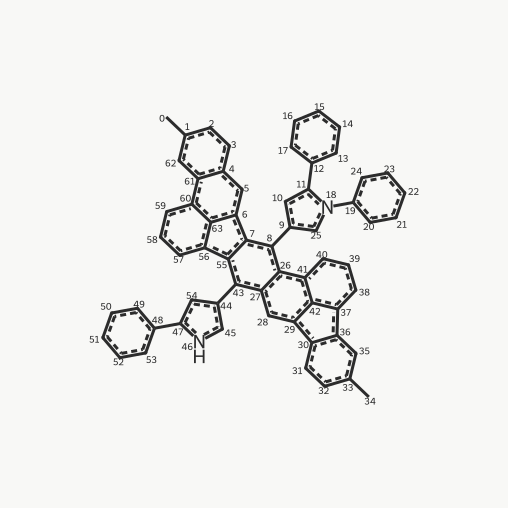 Cc1ccc2cc3c4c(-c5cc(-c6ccccc6)n(-c6ccccc6)c5)c5c(cc6c7ccc(C)cc7c7cccc5c76)c(-c5c[nH]c(-c6ccccc6)c5)c4c4cccc(c2c1)c43